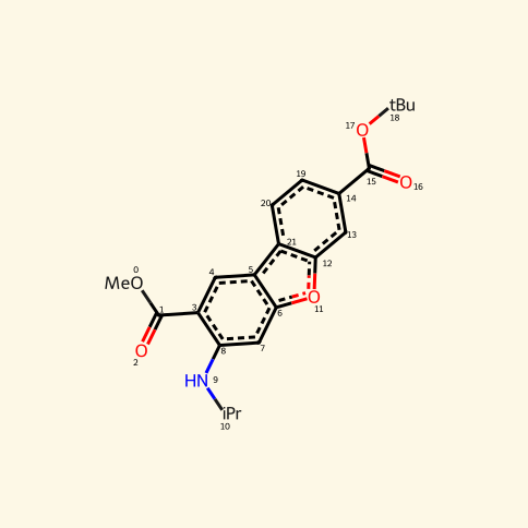 COC(=O)c1cc2c(cc1NC(C)C)oc1cc(C(=O)OC(C)(C)C)ccc12